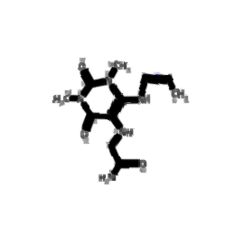 C/C=C\Nc1c(NCC(N)=O)c(=O)n(C)c(=O)n1C